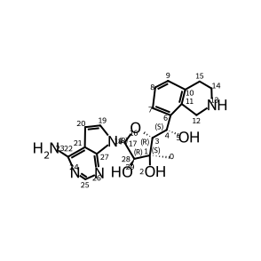 C[C@@]1(O)[C@@H]([C@@H](O)c2cccc3c2CNCC3)O[C@@H](n2ccc3c(N)ncnc32)[C@@H]1O